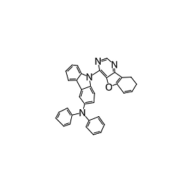 C1=Cc2oc3c(-n4c5ccccc5c5cc(N(c6ccccc6)c6ccccc6)ccc54)ncnc3c2CC1